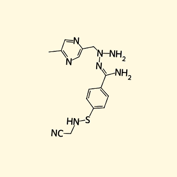 Cc1cnc(CN(N)/N=C(\N)c2ccc(SNCC#N)cc2)cn1